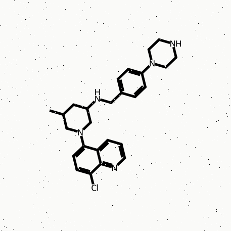 CC1CC(NCc2ccc(N3CCNCC3)cc2)CN(c2ccc(Cl)c3ncccc23)C1